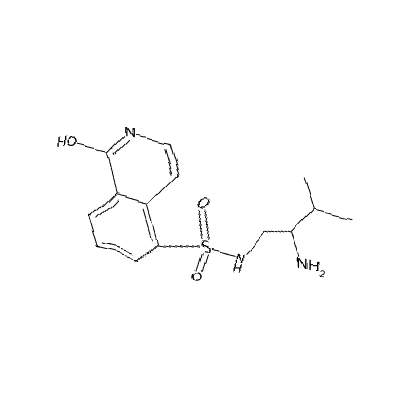 CC(C)C(N)CNS(=O)(=O)c1cccc2c(O)nccc12